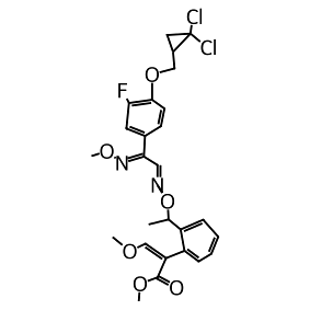 COC=C(C(=O)OC)c1ccccc1C(C)ON=CC(=NOC)c1ccc(OCC2CC2(Cl)Cl)c(F)c1